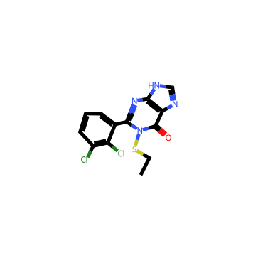 CCSn1c(-c2cccc(Cl)c2Cl)nc2[nH]cnc2c1=O